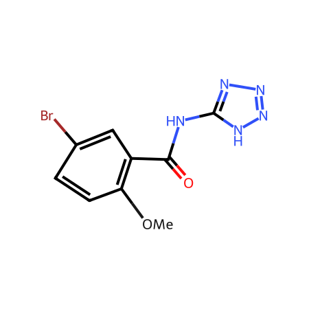 COc1ccc(Br)cc1C(=O)Nc1nnn[nH]1